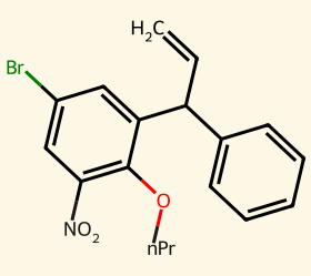 C=CC(c1ccccc1)c1cc(Br)cc([N+](=O)[O-])c1OCCC